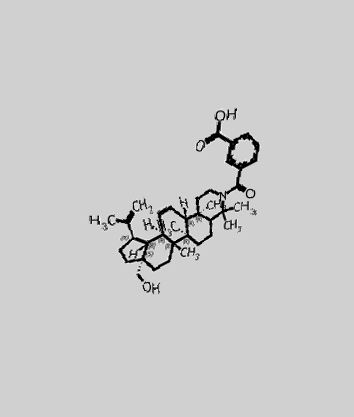 C=C(C)[C@@H]1CC[C@]2(CO)CC[C@]3(C)[C@H](CC[C@@H]4[C@@]5(C)CCN(C(=O)c6cccc(C(=O)O)c6)C(C)(C)C5CC[C@]43C)[C@@H]12